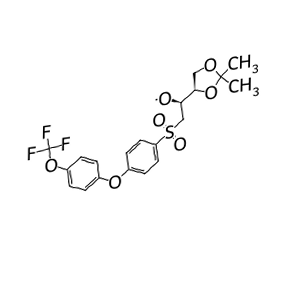 CC1(C)OC[C@H]([C@H]([O])CS(=O)(=O)c2ccc(Oc3ccc(OC(F)(F)F)cc3)cc2)O1